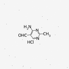 Cc1ncc(C=O)c(N)n1.Cl